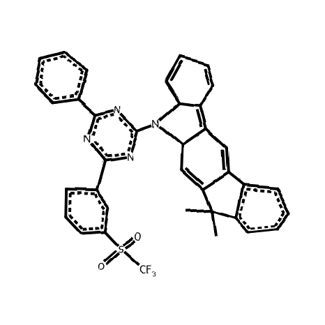 CC1(C)C2=CC3C(=C4C=CC=CC4N3c3nc(-c4ccccc4)nc(-c4cccc(S(=O)(=O)C(F)(F)F)c4)n3)C=C2c2ccccc21